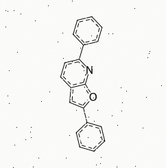 c1ccc(-c2ccc3cc(-c4ccccc4)oc3n2)cc1